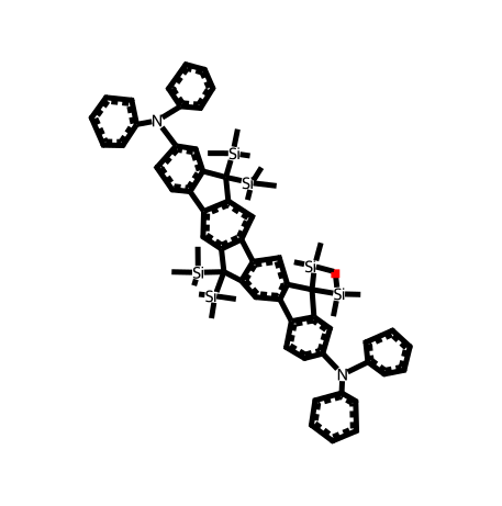 C[Si](C)(C)C1([Si](C)(C)C)c2cc(N(c3ccccc3)c3ccccc3)ccc2-c2cc3c(cc21)-c1cc2c(cc1C3([Si](C)(C)C)[Si](C)(C)C)-c1ccc(N(c3ccccc3)c3ccccc3)cc1C2([Si](C)(C)C)[Si](C)(C)C